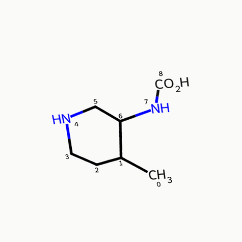 CC1CCNCC1NC(=O)O